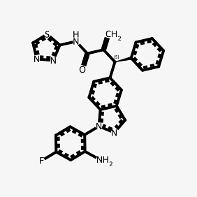 C=C(C(=O)Nc1nncs1)[C@@H](c1ccccc1)c1ccc2c(cnn2-c2ccc(F)cc2N)c1